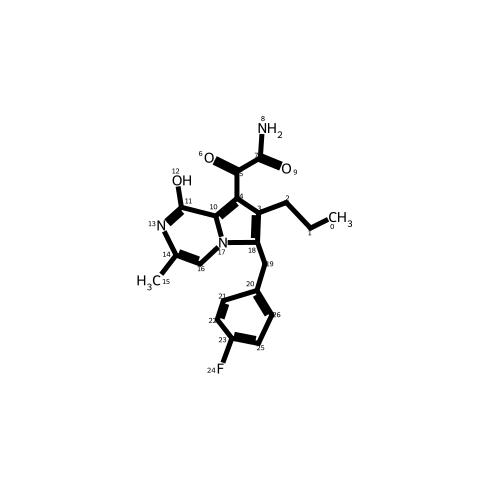 CCCc1c(C(=O)C(N)=O)c2c(O)nc(C)cn2c1Cc1ccc(F)cc1